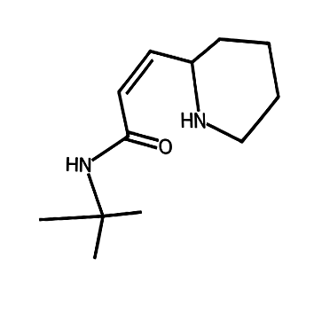 CC(C)(C)NC(=O)/C=C\C1CCCCN1